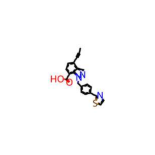 CC#Cc1ccc(C(=O)O)c2c1cnn2Cc1ccc(-c2nccs2)cc1